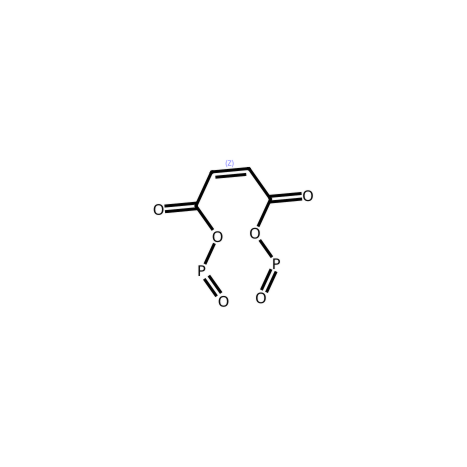 O=POC(=O)/C=C\C(=O)OP=O